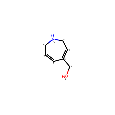 OCC1=CCNCC=C1